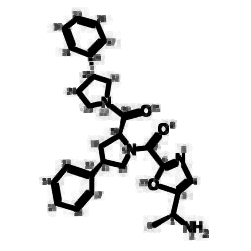 C[C@H](N)c1cnc(C(=O)N2C[C@@H](c3ccccc3)C[C@H]2C(=O)N2CC[C@H](c3ccccc3)C2)o1